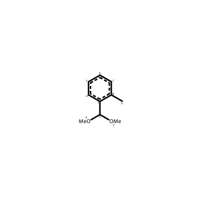 COC(OC)c1ccccc1C